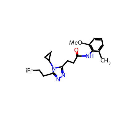 COc1cccc(C)c1NC(=O)CCc1nnc(CCC(C)C)n1C1CC1